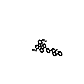 CC(C)(C)c1ccc2c(c1)C1(c3cc(C(C)(C)C)ccc3-2)c2ccccc2-c2c(-c3cccc(-c4ccc5c6c(cccc46)-c4ccccc4O5)c3)cccc21